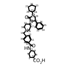 O=C(N[C@H]1CC[C@@H](C(=O)O)CC1)c1ccc(CN2CCC(N3C(=O)N(C4CCCCC4)CC3c3ccccc3)CC2)cc1